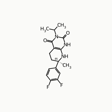 CC(C)n1c(=O)[nH]c2c(c1=O)CC[C@](C)(c1ccc(F)c(F)c1)N2